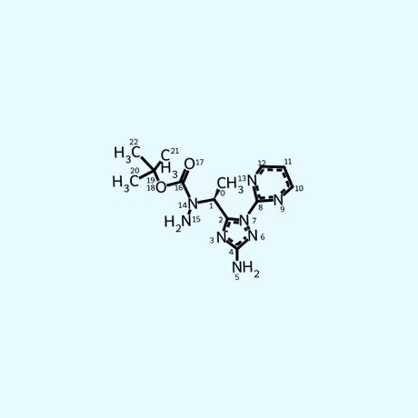 C[C@@H](c1nc(N)nn1-c1ncccn1)N(N)C(=O)OC(C)(C)C